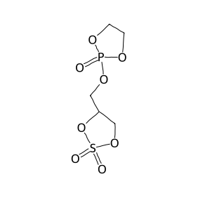 O=P1(OCC2COS(=O)(=O)O2)OCCO1